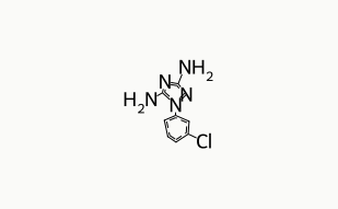 Nc1nc(N)n(-c2cccc(Cl)c2)n1